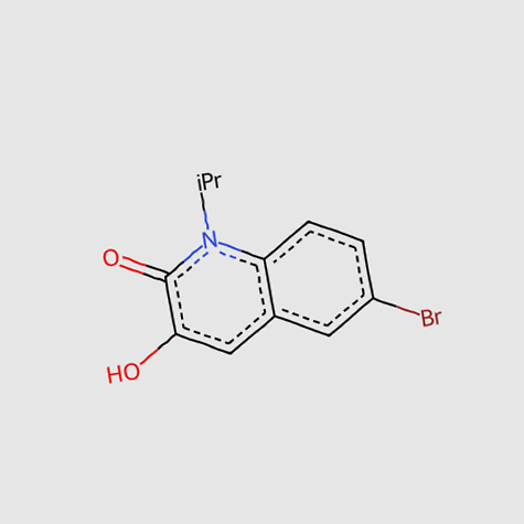 CC(C)n1c(=O)c(O)cc2cc(Br)ccc21